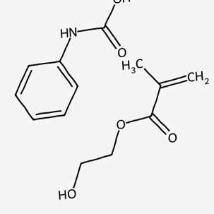 C=C(C)C(=O)OCCO.O=C(O)Nc1ccccc1